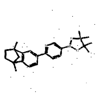 CC12CCC(C)(C1)c1cc(-c3ccc(B4OC(C)(C)C(C)(C)O4)cn3)ccc12